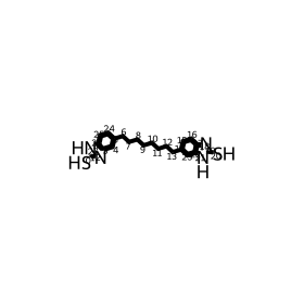 Sc1nc2cc(CCCCCCCCc3ccc4nc(S)[nH]c4c3)ccc2[nH]1